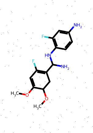 COC1=CC(F)=C(C(N)Nc2ccc(N)cc2F)CC1OC